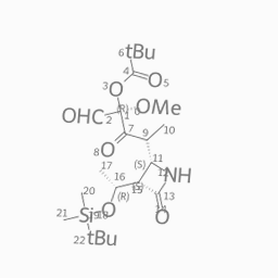 CO[C@](C=O)(OC(=O)C(C)(C)C)C(=O)C(C)[C@@H]1NC(=O)[C@@H]1[C@@H](C)O[Si](C)(C)C(C)(C)C